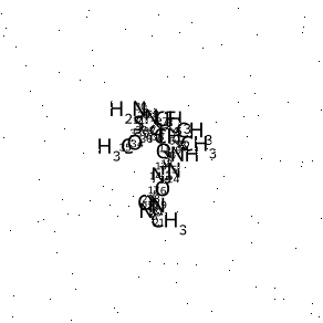 C=C(/C(F)=C(C)\C=C(/C)NC(=O)c1cnc(OCc2nc(C)no2)cn1)[C@@]1(C)N=C(N)S[C@@]2(COC)C[C@H]21